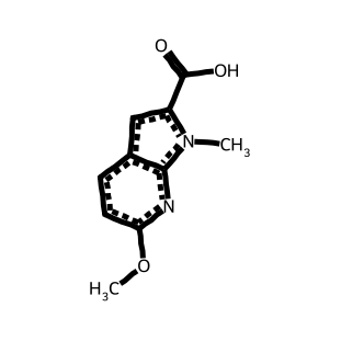 COc1ccc2cc(C(=O)O)n(C)c2n1